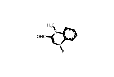 CN1C(C=O)=CN(F)c2ccccc21